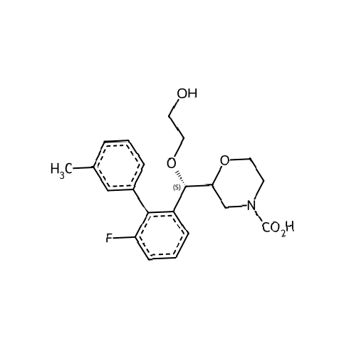 Cc1cccc(-c2c(F)cccc2[C@H](OCCO)C2CN(C(=O)O)CCO2)c1